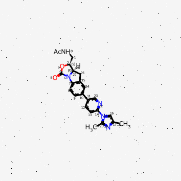 CC(=O)NC[C@@H]1OC(=O)N2c3ccc(-c4ccc(-n5cc(C)nc5C)nc4)cc3C[C@H]12